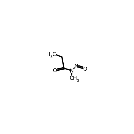 CCC(=O)N(C)N=O